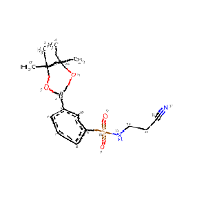 CC1(C)OB(c2cccc(S(=O)(=O)NCCC#N)c2)OC1(C)C